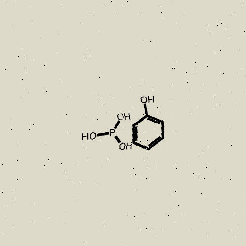 OP(O)O.Oc1ccccc1